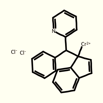 [Cl-].[Cl-].[Cr+2][C]1(C(c2ccccc2)c2ccccn2)C=Cc2ccccc21